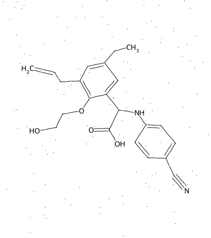 C=CCc1cc(CC)cc(C(Nc2ccc(C#N)cc2)C(=O)O)c1OCCO